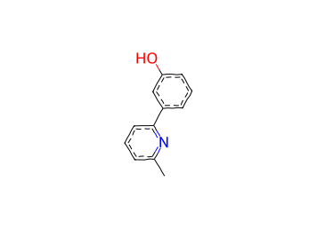 Cc1cccc(-c2cccc(O)c2)n1